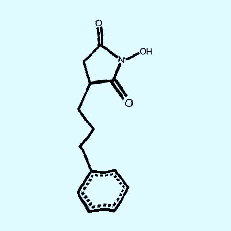 O=C1CC(CCCc2ccccc2)C(=O)N1O